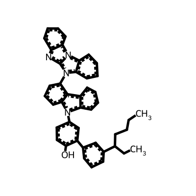 CCCCC(CC)c1cccc(-c2cc(-n3c4ccccc4c4c(-n5c6ccccc6n6c7ccccc7nc56)cccc43)ccc2O)c1